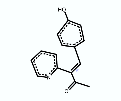 CC(=O)/C(=C/c1ccc(O)cc1)c1ccccn1